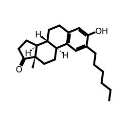 CCCCCCc1cc2c(cc1O)CC[C@@H]1[C@@H]2CC[C@]2(C)C(=O)CC[C@@H]12